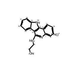 Cl.OCCNc1nc2ccccc2c2[nH]c3ccccc3c12